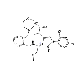 COC/C(NCc1ccccc1CN1CCOCC1)=C1\C(=O)N(c2ccc(F)cc2Cl)N=C1C(C)C(=O)O